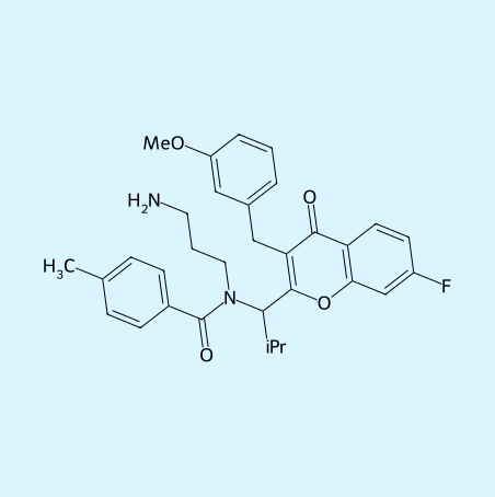 COc1cccc(Cc2c(C(C(C)C)N(CCCN)C(=O)c3ccc(C)cc3)oc3cc(F)ccc3c2=O)c1